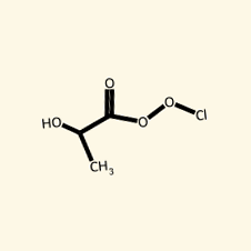 CC(O)C(=O)OOCl